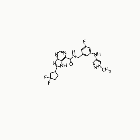 Cn1cc(Nc2cc(F)cc(CNC(=O)c3ncnc4nc(C5CCC(F)(F)C5)[nH]c34)c2)cn1